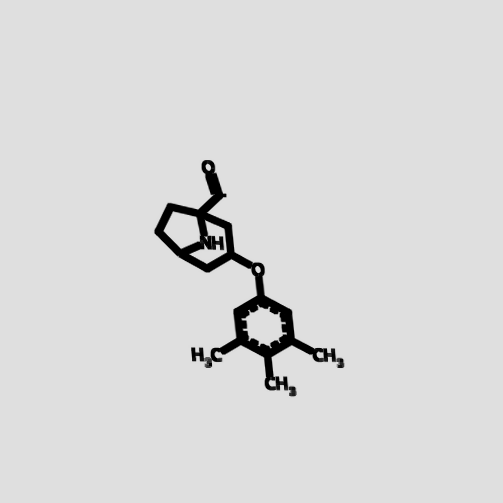 Cc1cc(OC2CC3CCC([C]=O)(C2)N3)cc(C)c1C